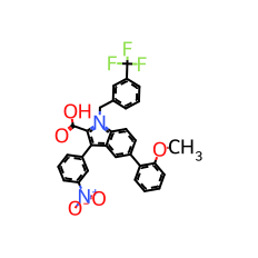 COc1ccccc1-c1ccc2c(c1)c(-c1cccc([N+](=O)[O-])c1)c(C(=O)O)n2Cc1cccc(C(F)(F)F)c1